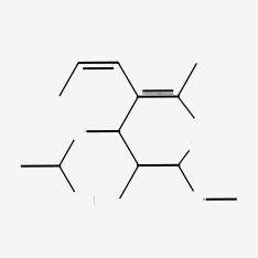 C/C=C\C(=C(C)C)C(OC(C)O)C(C)C(O)OC